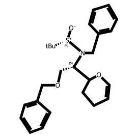 CC(C)(C)[S@+]([O-])N(Cc1ccccc1)[C@@H](COCc1ccccc1)C1CCC=CO1